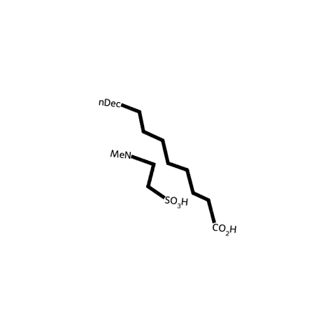 CCCCCCCCCCCCCCCCCC(=O)O.CNCCS(=O)(=O)O